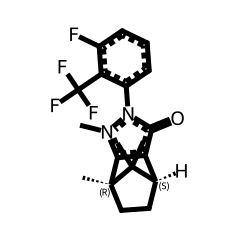 Cn1c2c(c(=O)n1-c1cccc(F)c1C(F)(F)F)[C@H]1CC[C@]2(C)C1(C)C